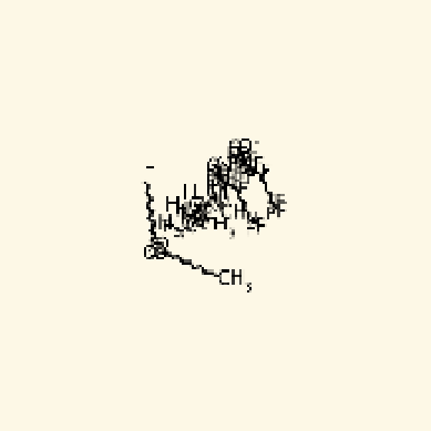 CCCCCCCCCCCOS(=O)(=O)CCCCCCCCCCCF.CC[N+](CC)(CC)CC.CC[N+](CC)(CC)CC.O=S(=O)([O-])C(F)(F)C(F)(F)C(F)(F)C(F)(F)C(F)CCCCCC(F)(F)F.O=S(=O)([O-])C(F)(F)C(F)(F)C(F)(F)C(F)(F)C(F)CCCCCC(F)(F)F